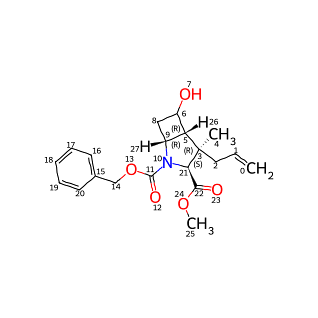 C=CC[C@]1(C)[C@H]2C(O)C[C@H]2N(C(=O)OCc2ccccc2)[C@@H]1C(=O)OC